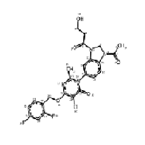 CC(=O)N1CN(C(=O)CCO)c2cc(-n3c(C)nc(OCc4ccc(F)cc4F)c(Cl)c3=O)ccc21